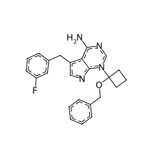 Nc1ncn(C2(OCc3ccccc3)CCC2)c2ncc(Cc3cccc(F)c3)c1-2